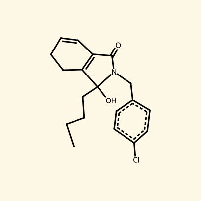 CCCCC1(O)C2=C(C=CCC2)C(=O)N1Cc1ccc(Cl)cc1